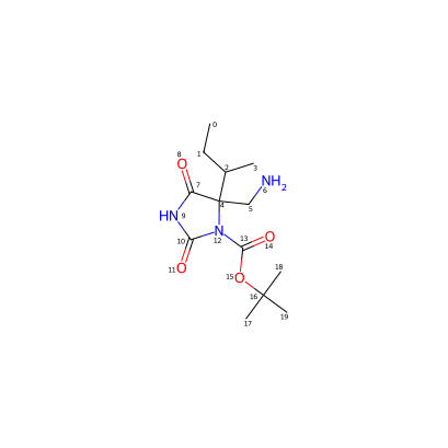 CCC(C)C1(CN)C(=O)NC(=O)N1C(=O)OC(C)(C)C